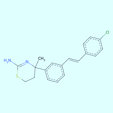 CC1(c2cccc(/C=C/c3ccc(Cl)cc3)c2)CCSC(N)=N1